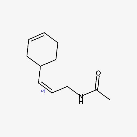 CC(=O)NC/C=C\C1CC=CCC1